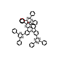 c1ccc(-c2cc(-c3ccccc3)nc(-c3ccc(-n4c5cc(-c6nc(-c7ccccc7)nc(-c7ccccc7)n6)ccc5c5ccc(-c6nc(-c7ccccc7)nc(-c7ccccc7)n6)cc54)c(-c4nc(-c5ccccc5)nc(-c5ccccc5)n4)c3)n2)cc1